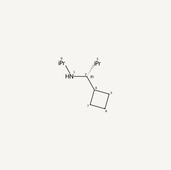 CC(C)N[C@H](C(C)C)C1CCC1